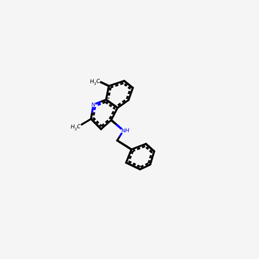 Cc1cc(NCc2ccccc2)c2cccc(C)c2n1